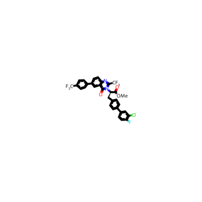 COC(=O)[C@@H](Cc1ccc(-c2ccc(F)c(Cl)c2)cc1)n1c(C(F)(F)F)nc2ccc(-c3ccc(C(F)(F)F)cc3)cc2c1=O